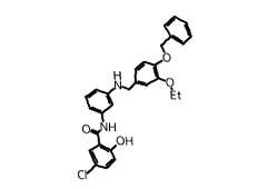 CCOc1cc(CNc2cccc(NC(=O)c3cc(Cl)ccc3O)c2)ccc1OCc1ccccc1